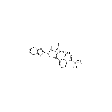 CCC(Nc1c(Nc2cccc(C(=O)N(C)C)c2OC)c(=O)c1=O)c1cc2ccccc2o1